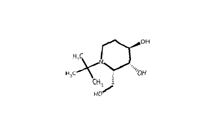 CC(C)(C)N1CC[C@@H](O)[C@H](O)[C@@H]1CO